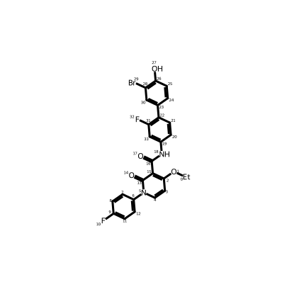 CCOc1ccn(-c2ccc(F)cc2)c(=O)c1C(=O)Nc1ccc(-c2ccc(O)c(Br)c2)c(F)c1